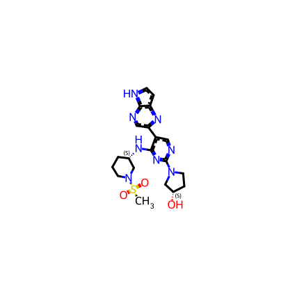 CS(=O)(=O)N1CCC[C@H](Nc2nc(N3CC[C@H](O)C3)ncc2-c2cnc3[nH]ccc3n2)C1